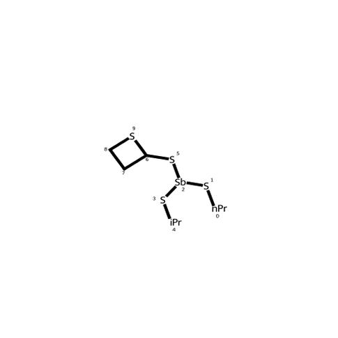 CCC[S][Sb]([S]C(C)C)[S]C1CCS1